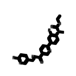 CCOC(=O)N(C)c1ccc(-c2ccc(C(=O)NCc3ccc(F)nc3)cn2)cc1F